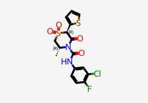 C[C@@H]1CS(=O)(=O)[C@@H](c2cccs2)C(=O)N1C(=O)Nc1ccc(F)c(Cl)c1